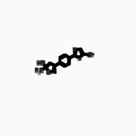 CC(C)c1cnc(-c2ccc(C3=NOC(O)(C(F)(F)F)C3)cc2)s1